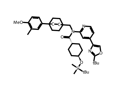 COc1ccc(C23CCC(CN(c4cc(-c5coc(C(C)(C)C)n5)ccn4)C(=O)[C@H]4CC[C@H](O[Si](C)(C)C(C)(C)C)CC4)(CC2)CC3)cc1C